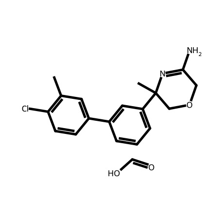 Cc1cc(-c2cccc(C3(C)COCC(N)=N3)c2)ccc1Cl.O=CO